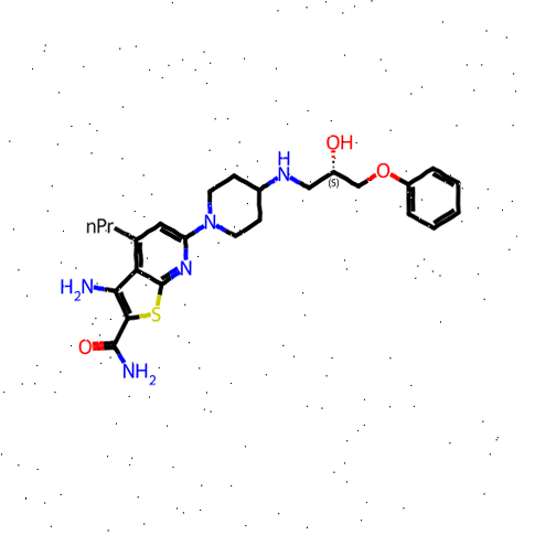 CCCc1cc(N2CCC(NC[C@H](O)COc3ccccc3)CC2)nc2sc(C(N)=O)c(N)c12